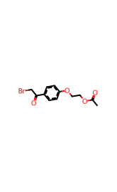 CC(=O)OCCOc1ccc(C(=O)CBr)cc1